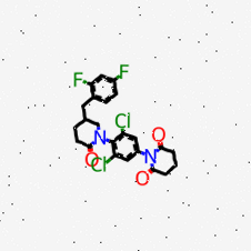 O=C1CCC(Cc2ccc(F)cc2F)CN1c1c(Cl)cc(N2C(=O)CCCC2=O)cc1Cl